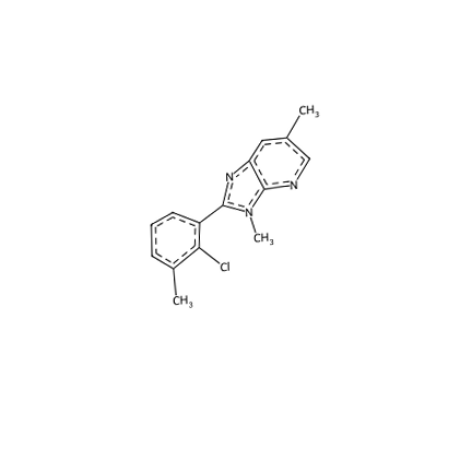 Cc1cnc2c(c1)nc(-c1cccc(C)c1Cl)n2C